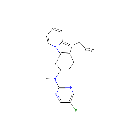 CN(c1ncc(F)cn1)C1CCc2c(CC(=O)O)c3ccccn3c2C1